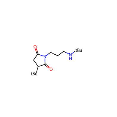 CC(C)(C)NCCCN1C(=O)CC(C(C)(C)C)C1=O